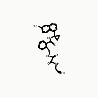 C#CCNC(=O)C(=O)NCc1ccccc1C(=O)NC1(c2cccc3cc(C)ccc23)CC1